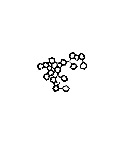 c1ccc(N(c2ccc3c(c2)c2cc(N(c4ccccc4)c4cccc5c4oc4c(C6CCCCC6)cccc45)cc4c2n3-c2ccccc2C42c3ccc4ccccc4c3-c3c2ccc2ccccc32)c2cccc3c2oc2c(C4CCCCC4)cccc23)cc1